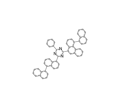 c1ccc(-c2nc(-c3cccc4c(-c5cccc6ccccc56)cccc34)nc(-c3cc4ccccc4c4c(-c5cccc6ccccc56)cccc34)n2)cc1